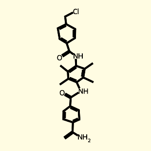 C=C(N)c1ccc(C(=O)Nc2c(C)c(C)c(NC(=O)c3ccc(CCl)cc3)c(C)c2C)cc1